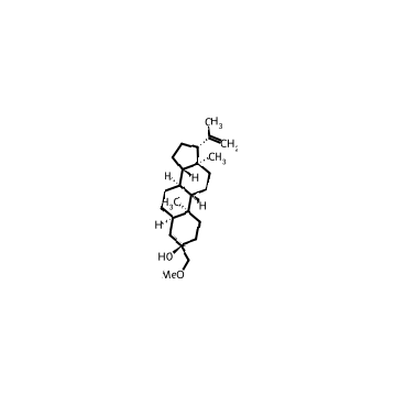 C=C(C)[C@H]1CC[C@H]2[C@@H]3CC[C@@H]4C[C@@](O)(COC)CC[C@]4(C)[C@H]3CC[C@]12C